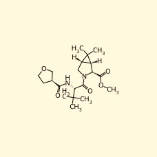 COC(=O)[C@@H]1[C@@H]2[C@H](CN1C(=O)[C@@H](NC(=O)[C@H]1CCOC1)C(C)(C)C)C2(C)C